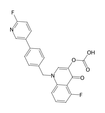 O=C(O)Oc1cn(Cc2ccc(-c3ccc(F)nc3)cc2)c2cccc(F)c2c1=O